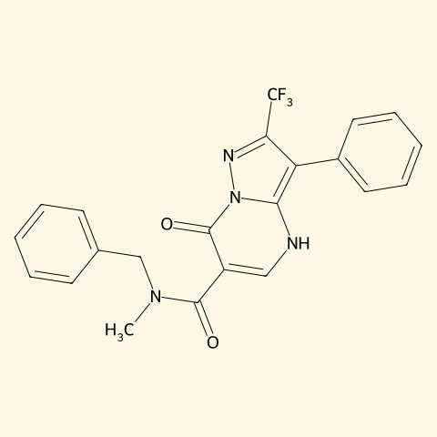 CN(Cc1ccccc1)C(=O)c1c[nH]c2c(-c3ccccc3)c(C(F)(F)F)nn2c1=O